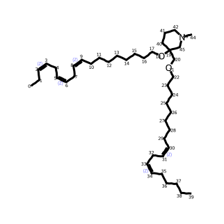 CC/C=C\C/C=C\C/C=C\CCCCCCCCOC1(COCCCCCCCC/C=C\C/C=C\CCCCC)CCCN(C)C1